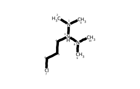 CN(C)[SiH](CCCCl)N(C)C